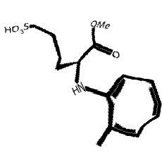 COC(=O)[C@H](CCS(=O)(=O)O)Nc1ccccc1C